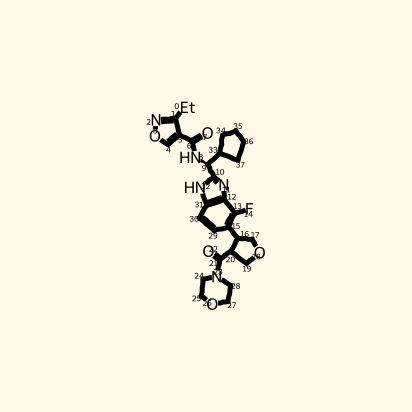 CCc1nocc1C(=O)N[C@H](c1nc2c(F)c(C3COCC3C(=O)N3CCOCC3)ccc2[nH]1)C1CCCC1